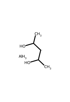 CC(O)[CH]C(C)O.[AlH3]